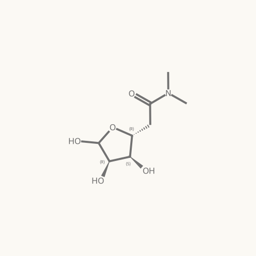 CN(C)C(=O)C[C@H]1OC(O)[C@H](O)[C@@H]1O